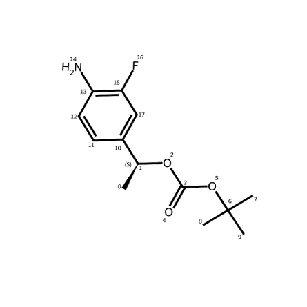 C[C@H](OC(=O)OC(C)(C)C)c1ccc(N)c(F)c1